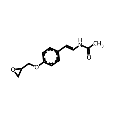 CC(=O)NC=Cc1ccc(OCC2CO2)cc1